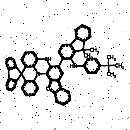 CC(C)(C)c1ccc(Nc2c(-c3cc4c(oc5ccccc54)c4c3Bc3cccc5c3N4c3ccccc3C53c4ccccc4-c4ccccc43)ccc3c2C(C)(C)c2ccccc2-3)cc1